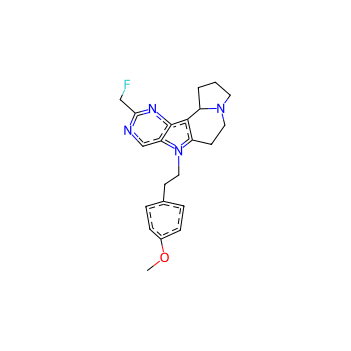 COc1ccc(CCn2c3c(c4nc(CF)ncc42)C2CCCN2CC3)cc1